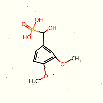 COc1ccc(C(O)P(=O)(O)O)cc1OC